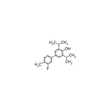 Cc1ccc(-c2cc(C(C)C)c(O)c(C(C)C)c2)cc1F